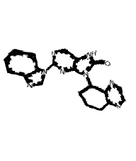 O=c1[nH]c2cnc(-n3cnc4ccccc43)nc2n1C1CCCc2nccnc21